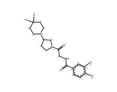 O=C(NCC(=O)N1CCC(N2CCC(F)(F)CC2)C1)c1ccc(Cl)c(Cl)c1